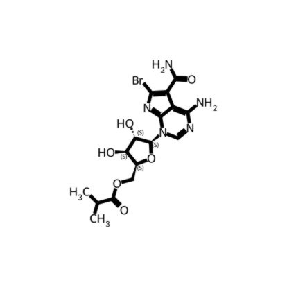 CC(C)C(=O)OC[C@@H]1O[C@H](n2cnc(N)c3c(C(N)=O)c(Br)nc2-3)[C@@H](O)[C@@H]1O